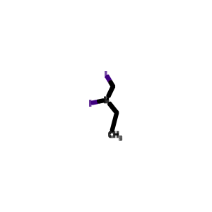 CCB(I)CI